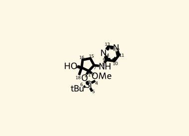 COC1(O[Si](C)(C)C(C)(C)C)C(Nc2ccncn2)CCC1(C)O